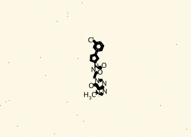 Cn1cnc2ncn(Cc3nn(C4CCC(c5cccc(Cl)c5)C4)c(=O)o3)c(=O)c21